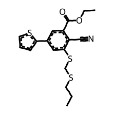 CCCSCSc1cc(-c2cccs2)cc(C(=O)OCC)c1C#N